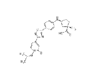 CC(C)Oc1ccc(-c2noc(-c3ccc(N[C@H]4CC[C@](C)(C(=O)O)C4)cc3)n2)cc1Cl